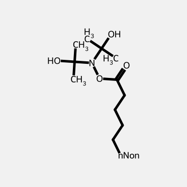 CCCCCCCCCCCCCC(=O)ON(C(C)(C)O)C(C)(C)O